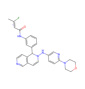 C/C(F)=C/C(=O)Nc1cccc(C2c3ccncc3C=CN2Nc2ccc(N3CCOCC3)nc2)c1